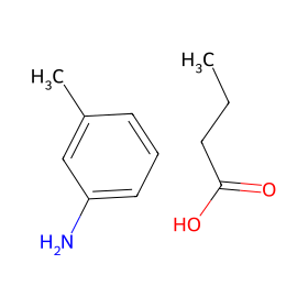 CCCC(=O)O.Cc1cccc(N)c1